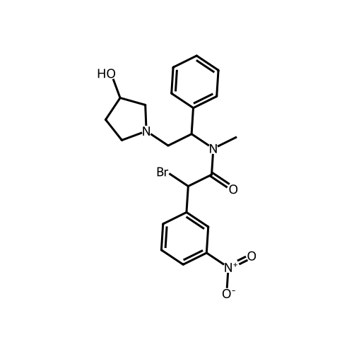 CN(C(=O)C(Br)c1cccc([N+](=O)[O-])c1)C(CN1CCC(O)C1)c1ccccc1